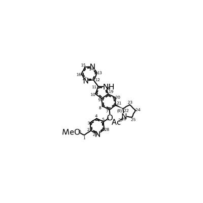 COCc1ccc(Oc2cc3cc(-c4cnccn4)[nH]c3cc2[C@H]2CCCN2C(C)=O)cn1